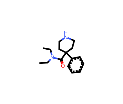 CCN(CC)C(=O)C1(c2ccccc2)CCNCC1